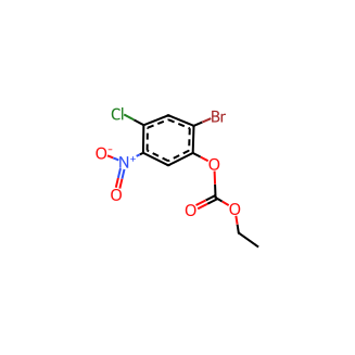 CCOC(=O)Oc1cc([N+](=O)[O-])c(Cl)cc1Br